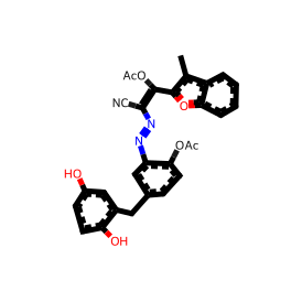 CC(=O)OC(=C(C#N)N=Nc1cc(Cc2cc(O)ccc2O)ccc1OC(C)=O)c1oc2ccccc2c1C